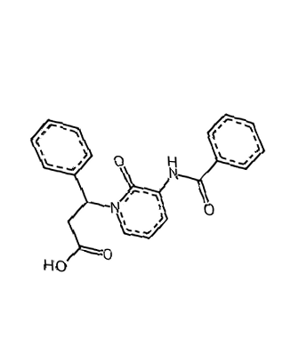 O=C(O)CC(c1ccccc1)n1cccc(NC(=O)c2ccccc2)c1=O